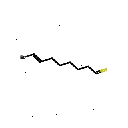 CCC=CCCCCCC=S